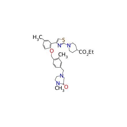 CCOC(=O)C1CCN(c2nc(-c3cc(C)ccc3OCc3ccc(CN4CCN(C)C(=O)C4)cc3C)cs2)CC1